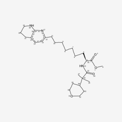 COC(=O)[C@H](CCCCCCCc1ccc2c(n1)NCCC2)NC(=O)C(C)(C)C1CCOCC1